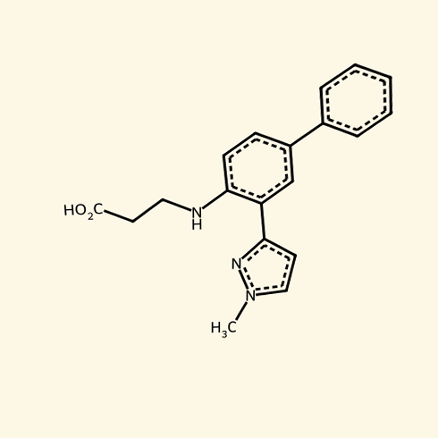 Cn1ccc(-c2cc(-c3ccccc3)ccc2NCCC(=O)O)n1